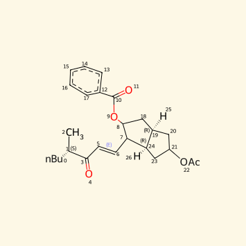 CCCC[C@H](C)C(=O)/C=C/C1C(OC(=O)c2ccccc2)C[C@H]2CC(OC(C)=O)C[C@@H]12